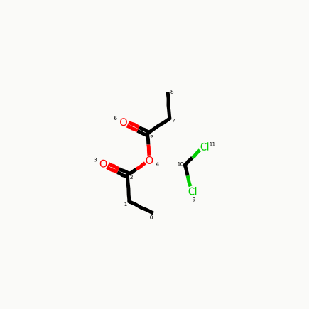 CCC(=O)OC(=O)CC.ClCCl